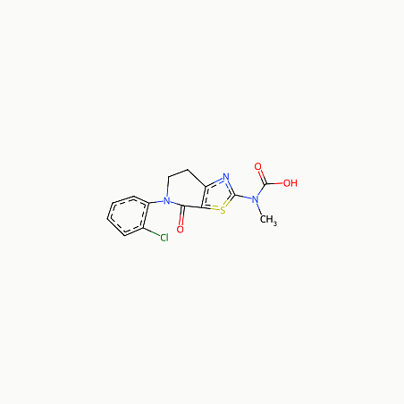 CN(C(=O)O)c1nc2c(s1)C(=O)N(c1ccccc1Cl)CC2